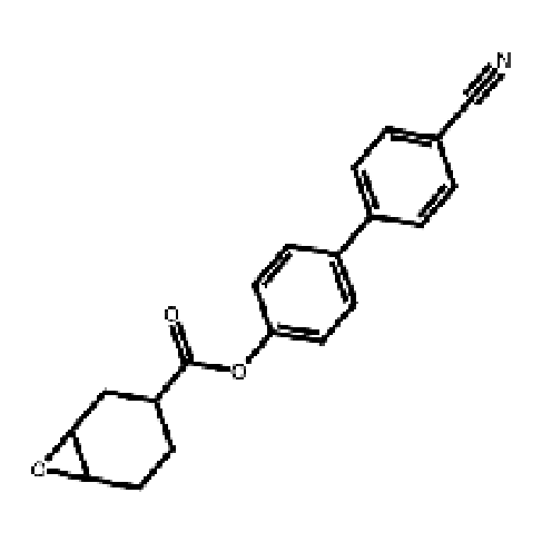 N#Cc1ccc(-c2ccc(OC(=O)C3CCC4OC4C3)cc2)cc1